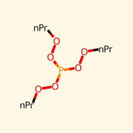 CCCOOP(OOCCC)OOCCC